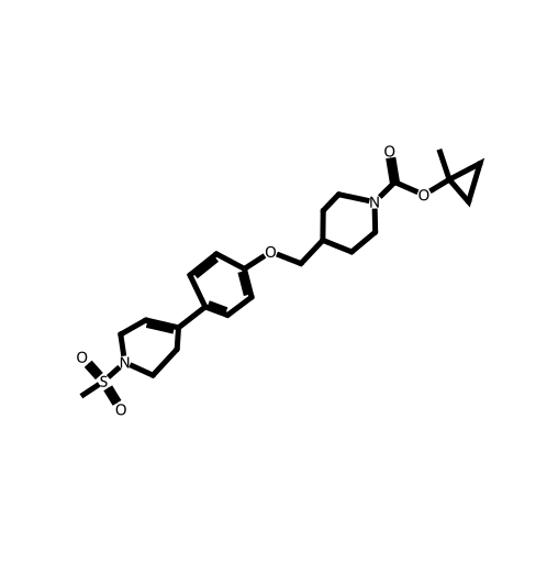 CC1(OC(=O)N2CCC(COc3ccc(C4=CCN(S(C)(=O)=O)CC4)cc3)CC2)CC1